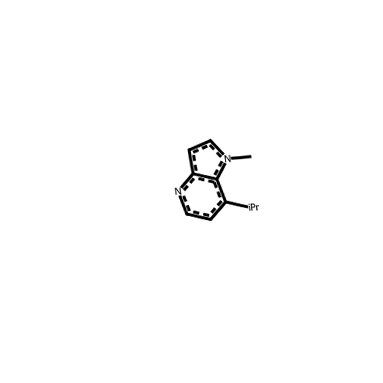 CC(C)c1ccnc2ccn(C)c12